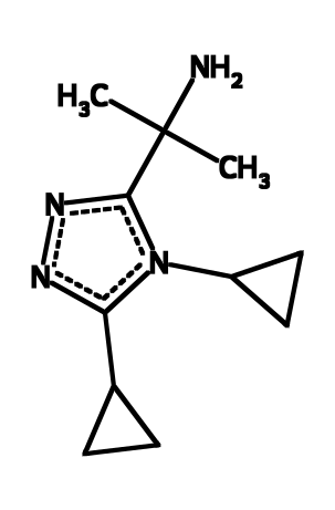 CC(C)(N)c1nnc(C2CC2)n1C1CC1